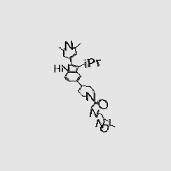 Cc1cc(-c2[nH]c3ccc(C4CCN(C(=O)CN(C)Cc5cc(C)on5)CC4)cc3c2C(C)C)cc(C)n1